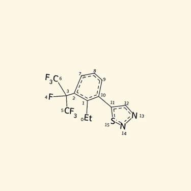 CCc1c(C(F)(C(F)(F)F)C(F)(F)F)[c]ccc1-c1cnns1